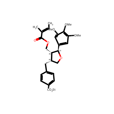 CC=C(C)C(=O)OC[C@H]1[C@@H](Cc2ccc(C(=O)OCC)cc2)CO[C@@H]1c1cc(OC)c(OC)c(OC)c1